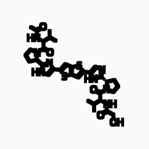 CC(=O)N[C@H](C(=O)N1CCCC1c1nc(-c2cc3sc(-c4cnc([C@@H]5CCCN5C(=O)[C@@H](NC(=O)CO)C(C)C)[nH]4)cc3s2)c[nH]1)C(C)C